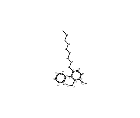 CCCCCCCCCc1ccc(O)c(CC)c1-c1ccccc1